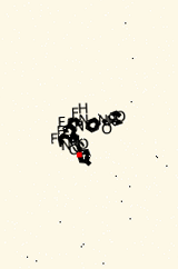 Cc1ccc(S(=O)(=O)n2cc(-c3nc(NC4CCCC(NC(=O)N5CCOCC5)C4)c(F)cc3C(F)(F)F)c3cc(F)cnc32)cc1